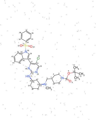 CN(CC1CCN(C(=O)OC(C)(C)C)CC1)[C@H]1CCC[C@@H](Nc2ncc(Cl)c(-c3cn(S(=O)(=O)c4ccccc4)c4ccccc34)n2)C1